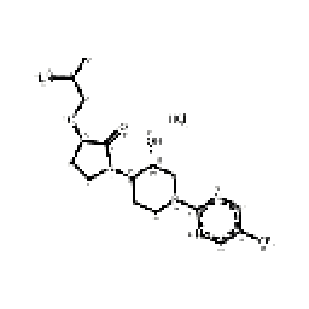 CC(N)CO[C@@H]1CCN([C@@H]2CCN(c3ncc(C(F)(F)F)cn3)C[C@H]2O)C1=O.Cl